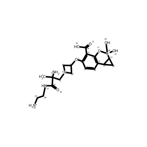 CC(N)(CN1CC(Oc2ccc3c(c2C(=O)O)O[B-](O)(O)C2CC32)C1)C(=O)NCC[NH3+]